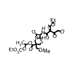 CCON=C(C(=O)CCl)C(=O)NC1C(=O)N2CC(COC)(C(=O)OC(C)OC(=O)OCC)CS[C@H]12